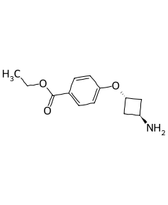 CCOC(=O)c1ccc(O[C@H]2C[C@H](N)C2)cc1